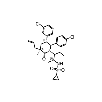 C=CC[C@@]1(C)C[C@H](c2cccc(Cl)c2)C(c2ccc(Cl)cc2)N(C(CC)[C@H](C)NS(=O)(=O)C2CC2)C1=O